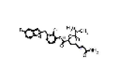 CN(C)C(=O)OC(CC/C=C/C(N)=O)C(=O)Nc1cccn(Cc2cc3cc(F)ccc3[nH]2)c1=O